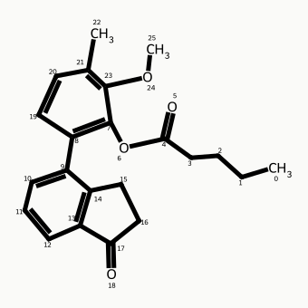 CCCCC(=O)Oc1c(-c2cccc3c2CCC3=O)ccc(C)c1OC